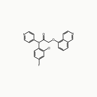 O=C(COc1cccc2cnccc12)N(c1ccncc1)c1ccc(F)cc1Cl